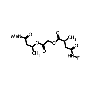 CNC(=O)CC(C)OC(=O)COC(=O)C(C)CC(=O)NF